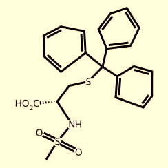 CS(=O)(=O)N[C@@H](CSC(c1ccccc1)(c1ccccc1)c1ccccc1)C(=O)O